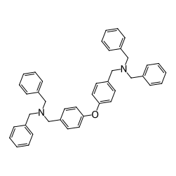 c1ccc(CN(Cc2ccccc2)Cc2ccc(Oc3ccc(CN(Cc4ccccc4)Cc4ccccc4)cc3)cc2)cc1